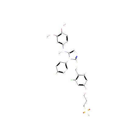 COc1ccc(N(C)c2cnc(SCc3c(F)cc(OCCCS(C)(=O)=O)cc3F)n2-c2ccc(F)cc2)cc1OC